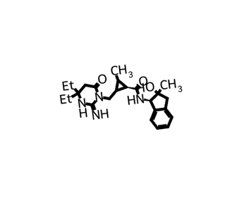 CCC1(CC)CC(=O)N(CC2C(C)[C@H]2C(=O)N[C@@H]2c3ccccc3CC2(C)O)C(=N)N1